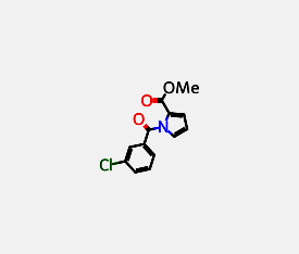 COC(=O)c1cccn1C(=O)c1cccc(Cl)c1